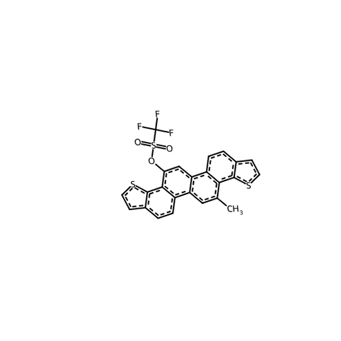 Cc1cc2c(cc(OS(=O)(=O)C(F)(F)F)c3c2ccc2ccsc23)c2ccc3ccsc3c12